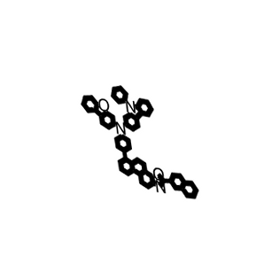 c1ccc(-n2c3ccccc3c3ccc(N(c4ccc(-c5cccc6c5ccc5c6ccc6nc(-c7ccc8ccccc8c7)oc65)cc4)c4ccc5c(c4)oc4ccccc45)cc32)cc1